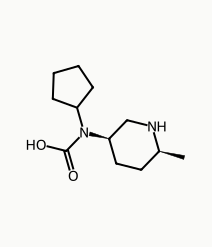 C[C@H]1CC[C@@H](N(C(=O)O)C2CCCC2)CN1